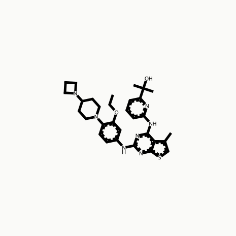 CCOc1cc(Nc2nc(Nc3cccc(C(C)(C)O)n3)c3c(C)csc3n2)ccc1N1CCC(N2CCC2)CC1